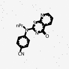 CCCN(c1ccc(C#N)cc1)c1nc(=O)c2cccnc2s1